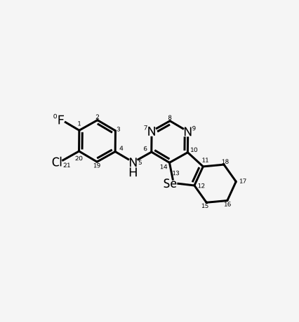 Fc1ccc(Nc2ncnc3c4c([se]c23)CCCC4)cc1Cl